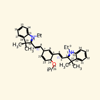 CC[N+]1=C(/C=C/C2=CC(/C=C/C3=[N+](CC)c4ccccc4C3(C)C)C=CC2OC(C)C)C(C)(C)c2ccccc21